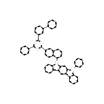 c1ccc(-c2cccc(-c3nc(-c4ccccc4)nc(-c4ccc5c(-n6c7ccccc7c7cc8c9ccccc9n(-c9ccccc9)c8cc76)cccc5c4)n3)c2)cc1